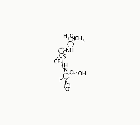 CN(C)C1CCC(Nc2cccc3c(CC(F)(F)F)c(C#CCNc4cc(F)c(N5CCOCC5)cc4OCCO)sc23)CC1